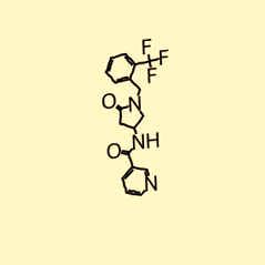 O=C(NC1CC(=O)N(Cc2ccccc2C(F)(F)F)C1)c1cccnc1